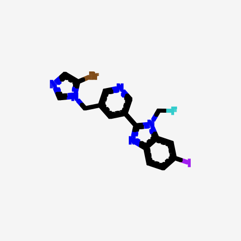 FCn1c(-c2cncc(Cn3cncc3Br)c2)nc2ccc(I)cc21